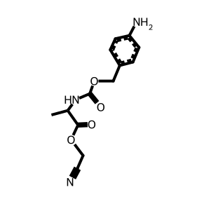 CC(NC(=O)OCc1ccc(N)cc1)C(=O)OCC#N